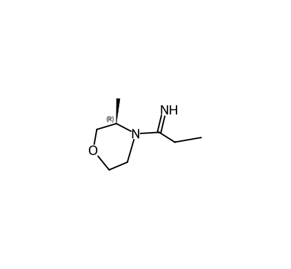 CCC(=N)N1CCOC[C@H]1C